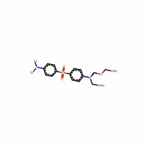 CCN(CC)c1ccc(S(=O)(=O)c2ccc(N(COC)COCOC)cc2)cc1